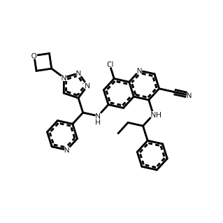 CCC(Nc1c(C#N)cnc2c(Cl)cc(NC(c3cccnc3)c3cn(C4COC4)nn3)cc12)c1ccccc1